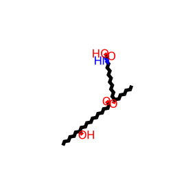 CCCCCCC(O)CCCCCCCCCCC(=O)OC(CCCCCC)CCCCCCCCCCNC(=O)O